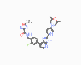 CC1CN(c2ccc(-c3nc4c(-c5ccc(CNC(=O)c6noc(C(C)(C)C)n6)c(F)c5)ccnc4[nH]3)nc2)CC(C)O1